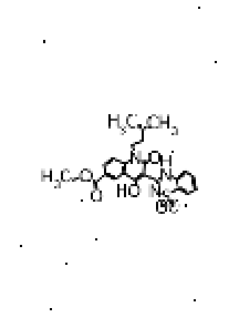 CCOC(=O)c1ccc2c(c1)c(O)c(C1=NS(=O)(=O)c3ccccc3N1)c(=O)n2CCC(C)C